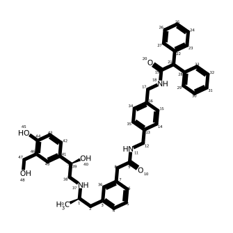 C[C@H](Cc1cccc(CC(=O)NCc2ccc(CNC(=O)C(c3ccccc3)c3ccccc3)cc2)c1)NC[C@H](O)c1ccc(O)c(CO)c1